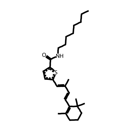 CCCCCCCCNC(=O)c1ccc(C=C(C)C=CC2=C(C)CCCC2(C)C)s1